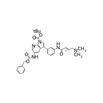 CN(C)C/C=C/C(=O)Nc1cccc(-c2cn(C(=O)OC(C)(C)C)c3ncc(NC(=O)OCc4ccccc4)cc23)c1